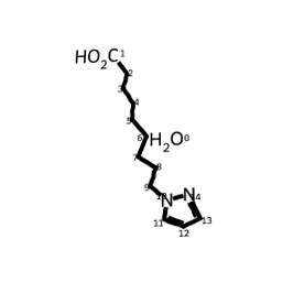 O.O=C(O)CCCCCCCCn1cccn1